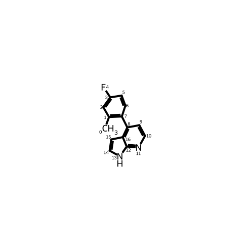 Cc1cc(F)ccc1-c1ccnc2[nH]ccc12